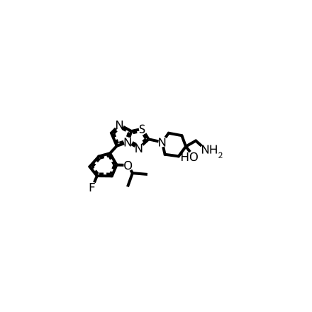 CC(C)Oc1cc(F)ccc1-c1cnc2sc(N3CCC(O)(CN)CC3)nn12